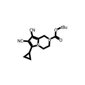 CC(C)(C)OC(=O)N1CCn2c(c(C#N)c(C#N)c2C2CC2)C1